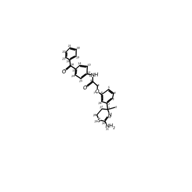 CC1(c2cccc(OCC(=O)Nc3ccc(C(=O)c4ccccc4)cc3)c2)CCSC(N)=N1